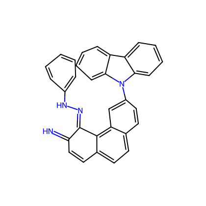 N=C1C=Cc2ccc3ccc(-n4c5ccccc5c5ccccc54)cc3c2/C1=N/Nc1ccccc1